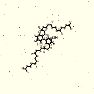 Cc1c(C)c2c(c(-c3c(C)c(O)c(C)c4c3O[C@@](C)(CCC[C@H](C)CCC[C@H](C)CCCC(C)C)CC4)c1O)CC[C@@](C)(CCC[C@H](C)CCC[C@H](C)CCCC(C)C)O2